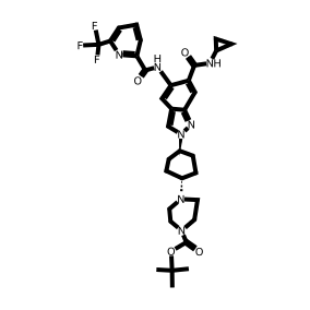 CC(C)(C)OC(=O)N1CCN([C@H]2CC[C@H](n3cc4cc(NC(=O)c5cccc(C(F)(F)F)n5)c(C(=O)NC5CC5)cc4n3)CC2)CC1